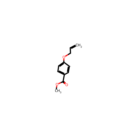 C=CCOc1[c]cc(C(=O)OC)cc1